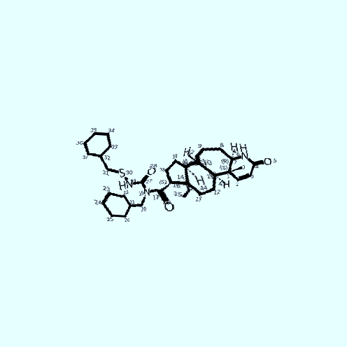 C[C@]12C=CC(=O)N[C@@H]1CC[C@@H]1[C@@H]2CC[C@]2(C)[C@@H](C(=O)N(CC3CCCCC3)C(=O)NSCC3CCCCC3)CC[C@@H]12